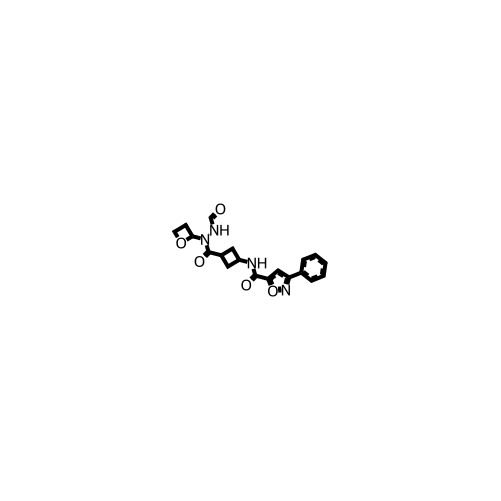 O=CNN(C(=O)C1CC(NC(=O)c2cc(-c3ccccc3)no2)C1)C1CCO1